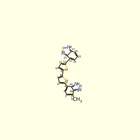 Cc1ccc(-c2ccc(-c3ccc(-c4cccc5nsnc45)s3)s2)c2nsnc12